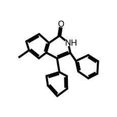 Cc1ccc2c(=O)[nH]c(-c3ccccc3)c(-c3ccccc3)c2c1